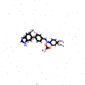 CC1(C)CCC(N(Cc2ccc(-c3cc4[nH]cnc4cc3C(F)(F)F)cc2)OC(=O)C(F)(F)F)CC1